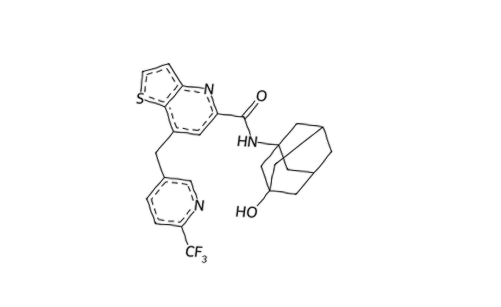 O=C(NC12CC3CC(CC(O)(C3)C1)C2)c1cc(Cc2ccc(C(F)(F)F)nc2)c2sccc2n1